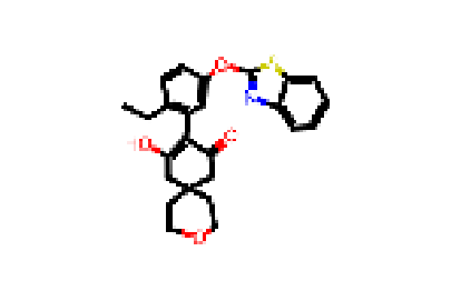 CCc1ccc(Oc2nc3ccccc3s2)cc1C1=C(O)CC2(CCOCC2)CC1=O